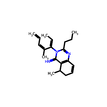 C=C/C=C(C)\C(=C/C)n1c(CCC)nc2c(c1=N)C(C)CC=C2